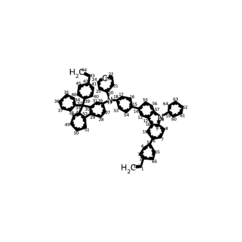 C=Cc1ccc(-c2ccc3c(c2)c2cc(-c4ccc(N(c5ccccc5)c5ccc6c(c5)C(c5ccccc5)(c5ccc(C=C)cc5)c5ccccc5-6)cc4)ccc2n3-c2ccccc2)cc1